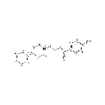 O=C(CCCN1CCC(N2CCCCC2)CC1)c1ccc(F)cc1